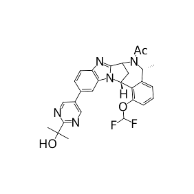 CC(=O)N1C2C[C@H](c3c(OC(F)F)cccc3[C@H]1C)n1c2nc2ccc(-c3cnc(C(C)(C)O)nc3)cc21